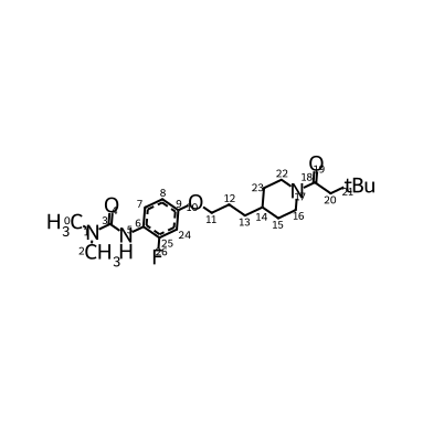 CN(C)C(=O)Nc1ccc(OCCCC2CCN(C(=O)CC(C)(C)C)CC2)cc1F